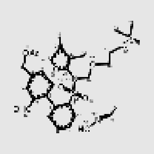 CC(=O)OCc1ccc(-c2ccccc2S(=O)(=O)N(COCCO[Si](C)(C)C)c2onc(C)c2C)c(C=O)c1.CC=NO